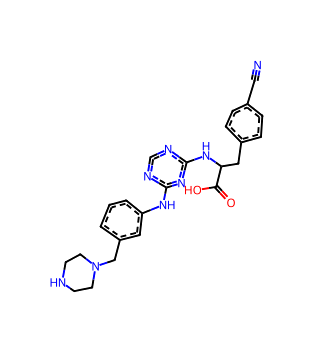 N#Cc1ccc(CC(Nc2ncnc(Nc3cccc(CN4CCNCC4)c3)n2)C(=O)O)cc1